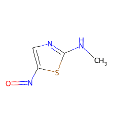 CNc1ncc(N=O)s1